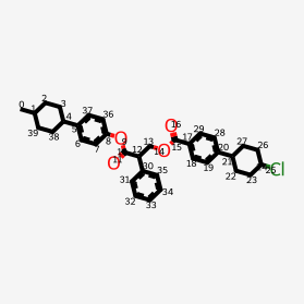 CC1CCC(c2ccc(OC(=O)C(COC(=O)c3ccc(C4CCC(Cl)CC4)cc3)c3ccccc3)cc2)CC1